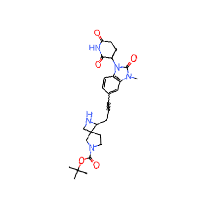 Cn1c(=O)n(C2CCC(=O)NC2=O)c2ccc(C#CCC3NCC34CCN(C(=O)OC(C)(C)C)C4)cc21